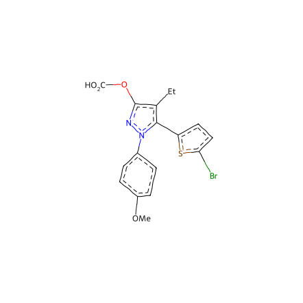 CCc1c(OC(=O)O)nn(-c2ccc(OC)cc2)c1-c1ccc(Br)s1